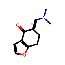 CN(C)/C=C1\CCc2occc2C1=O